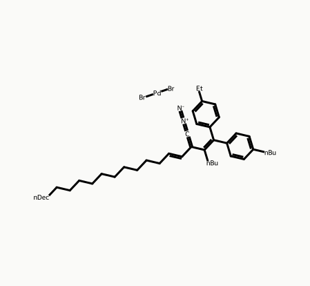 CCCCCCCCCCCCCCCCCCCCC=CC(=C=[N+]=[N-])C(CCCC)=C(c1ccc(CC)cc1)c1ccc(CCCC)cc1.[Br][Pd][Br]